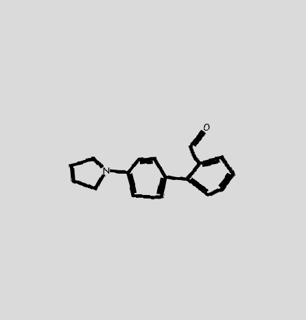 O=Cc1ccccc1-c1ccc(N2CCCC2)cc1